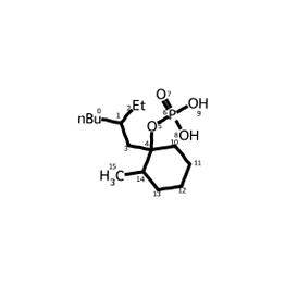 CCCCC(CC)CC1(OP(=O)(O)O)CCCCC1C